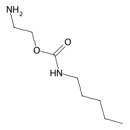 CCCCCNC(=O)OCCN